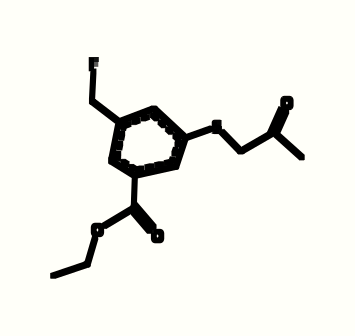 CCOC(=O)c1cc(CF)cc(SCC(C)=O)c1